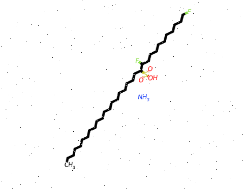 CCCCCCCCCCCCCCCCCCCCC(C(F)CCCCCCCCCCF)S(=O)(=O)O.N